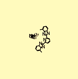 CC1=CC=CC2N=C(c3cccc(C4=NC5C=CC=C(C)C5=N4)n3)N=C12.[Cl-].[Cl-].[Cl-].[Nd+3]